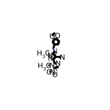 Cn1nc(-c2ncc([N+](=O)[O-])n2C)c(C#N)c1/N=C/c1ccc2c(c1)OCO2